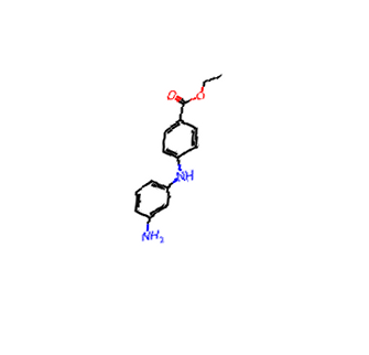 CCOC(=O)c1ccc(Nc2cccc(N)c2)cc1